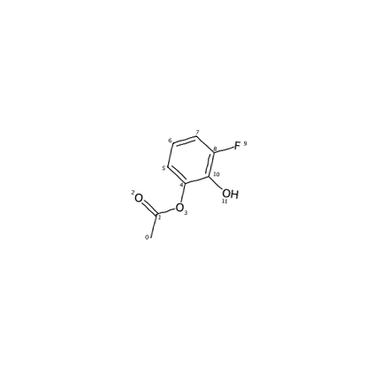 CC(=O)Oc1cccc(F)c1O